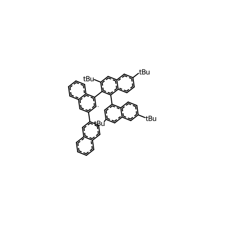 CC(C)(C)c1ccc2c(-c3c(-c4[c]c(-c5[c]cc6ccccc6c5)cc5ccccc45)c(C(C)(C)C)cc4cc(C(C)(C)C)ccc34)cc(C(C)(C)C)cc2c1